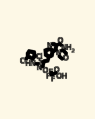 NC(=O)c1cnc2ccc(/C=C3\SC(Nc4c(Cl)cccc4Cl)=NC3=O)cc2c1N1CCOCC1.O=C(O)C(F)(F)F